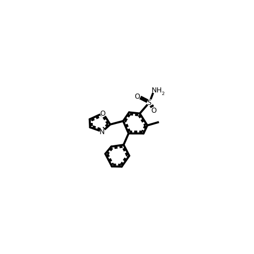 Cc1cc(-c2ccccc2)c(-c2ncco2)cc1S(N)(=O)=O